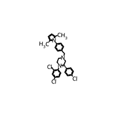 Cc1ccc(C)n1-c1ccc(CN2CCN(c3ccc(Cl)cc3Cl)[C@H](c3ccc(Cl)cc3)C2)cc1